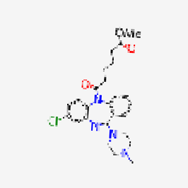 COC(=O)CCCCC(=O)N1c2ccc(Cl)cc2N=C(N2CCN(C)CC2)c2ccccc21